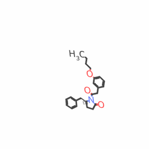 CCCCOc1cccc(CC(=O)N2C(=O)CC[C@H]2Cc2ccccc2)c1